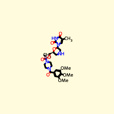 COc1cc(C(=O)N2CCN(P(C)(=O)OC[C@@H]3CNCC(n4cc(C)c(=O)[nH]c4=O)O3)CC2)cc(OC)c1OC